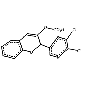 O=C(O)OC1=Cc2ccccc2OC1c1cnc(Cl)c(Cl)c1